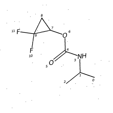 CC(C)NC(=O)OC1CC1(F)F